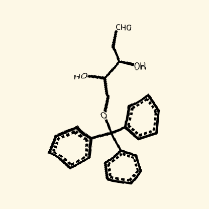 O=CCC(O)C(O)COC(c1ccccc1)(c1ccccc1)c1ccccc1